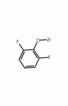 Fc1cccc(F)c1[O][Zr]